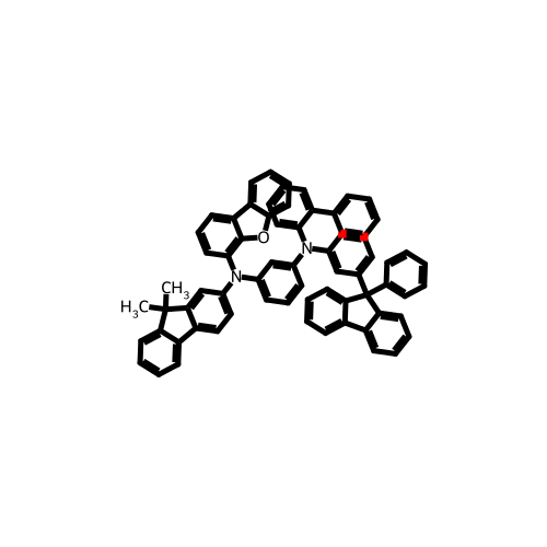 CC1(C)c2ccccc2-c2ccc(N(c3cccc(N(c4cccc(C5(c6ccccc6)c6ccccc6-c6ccccc65)c4)c4ccccc4-c4ccccc4)c3)c3cccc4c3oc3ccccc34)cc21